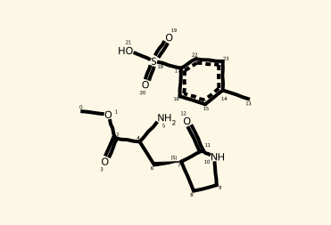 COC(=O)C(N)C[C@@H]1CCNC1=O.Cc1ccc(S(=O)(=O)O)cc1